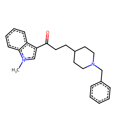 Cn1cc(C(=O)CCC2CCN(Cc3ccccc3)CC2)c2ccccc21